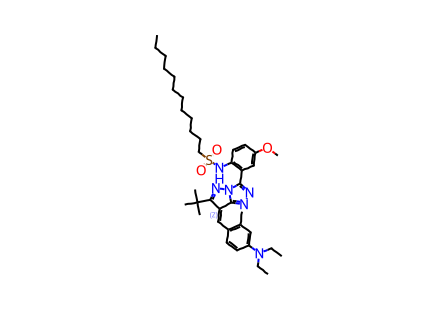 CCCCCCCCCCCCS(=O)(=O)Nc1ccc(OC)cc1-c1nnc2/c(=C\c3ccc(N(CC)CC)cc3C)c(C(C)(C)C)nn12